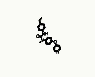 CCc1ccc(NC(=O)N(C)c2ccc(Oc3ccncc3)cc2)cc1